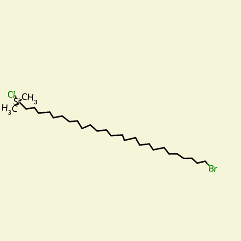 C[Si](C)(Cl)CCCCCCCCCCCCCCCCCCCCCCCCCCBr